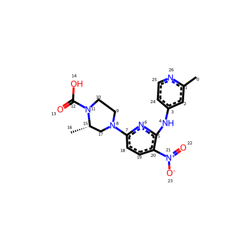 Cc1cc(Nc2nc(N3CCN(C(=O)O)[C@@H](C)C3)ccc2[N+](=O)[O-])ccn1